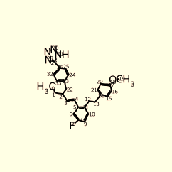 CCC(C=Cc1cc(F)ccc1CCc1ccc(OC)cc1)Cc1ccc(-c2nnn[nH]2)cc1